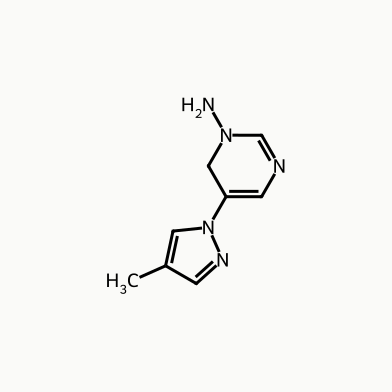 Cc1cnn(C2=CN=CN(N)C2)c1